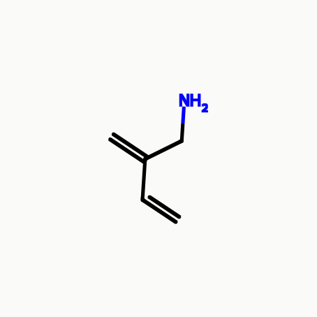 C=CC(=C)CN